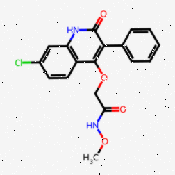 CONC(=O)COc1c(-c2ccccc2)c(=O)[nH]c2cc(Cl)ccc12